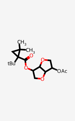 CC(=O)OC1COC2C(OC(=O)C3(C(C)(C)C)CC3(C)C)COC12